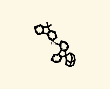 CC1(C)c2ccccc2-c2cc(Nc3cccc4c3-c3ccccc3C43C4CC5CC(C4)CC3C5)ccc21